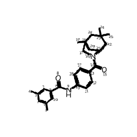 Cc1cc(C)cc(C(=O)Nc2ccc(C(=O)N3CC4(C)CC3CC(C)(C)C4)cc2)c1